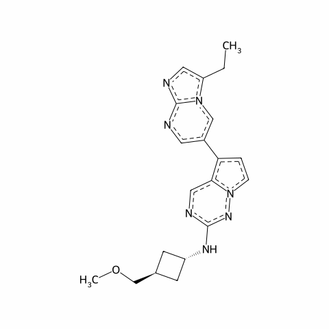 CCc1cnc2ncc(-c3ccn4nc(N[C@H]5C[C@H](COC)C5)ncc34)cn12